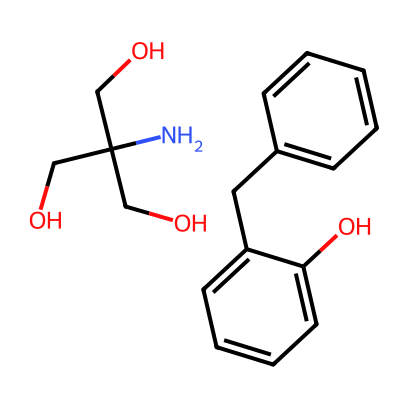 NC(CO)(CO)CO.Oc1ccccc1Cc1ccccc1